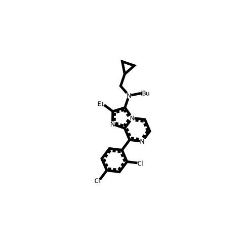 CCc1nc2c(-c3ccc(Cl)cc3Cl)nccn2c1N(CC1CC1)C(C)CC